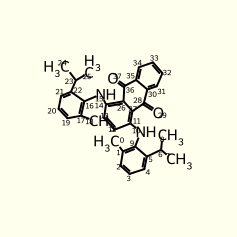 Cc1cccc(C(C)C)c1Nc1ccc(Nc2c(C)cccc2C(C)C)c2c1C(=O)c1ccccc1C2=O